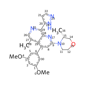 COc1cc(OC)cc(-c2cc(N3CCOC[C@H]3C)nc3c(-c4ccn[nH]4)ncc(C)c23)c1